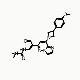 CNC(=O)N/C=C(\C=O)c1cc(N2CC(c3ccc(OC)cc3)C2)c2nccn2n1